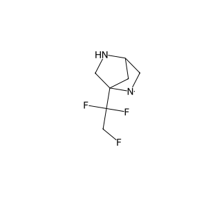 FCC(F)(F)C12CNC(C[N]1)C2